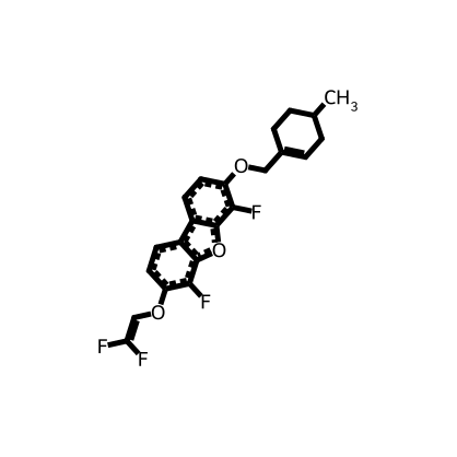 CC1CC=C(COc2ccc3c(oc4c(F)c(OC=C(F)F)ccc43)c2F)CC1